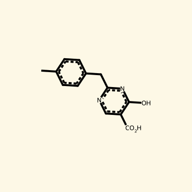 Cc1ccc(Cc2ncc(C(=O)O)c(O)n2)cc1